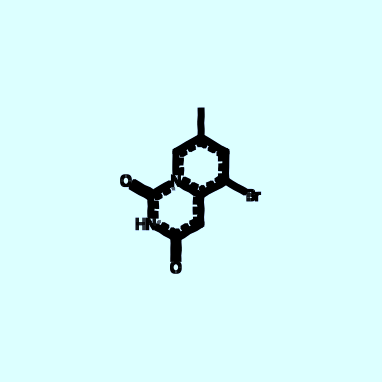 Cc1cc(Br)c2cc(=O)[nH]c(=O)n2c1